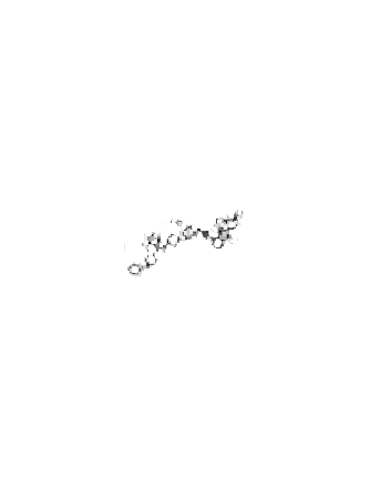 Nc1ncnc2c1c(-c1ccc(Oc3ccccc3)cc1)nn2C1CCC(N2CCN(CC3CN(c4cccc5c4C(=O)N(C4CCC(=O)NC4=O)C5=O)C3)CC2)CC1.O=S(=O)(O)O